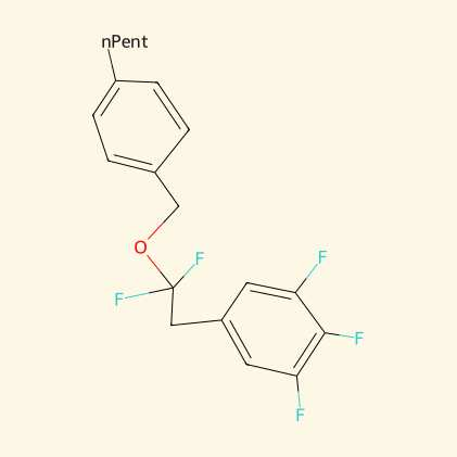 CCCCCc1ccc(COC(F)(F)Cc2cc(F)c(F)c(F)c2)cc1